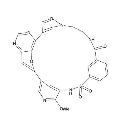 COc1ncc2cc1NS(=O)(=O)c1cccc(c1)C(=O)NCCn1cc(cn1)-c1ncnc3cc-2oc13